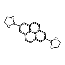 c1cc2cc(B3OCCO3)cc3ccc4cc(B5OCCO5)cc1c4c23